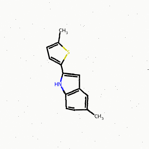 Cc1ccc2[nH]c(-c3ccc(C)s3)cc2c1